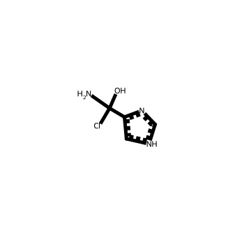 NC(O)(Cl)c1c[nH]cn1